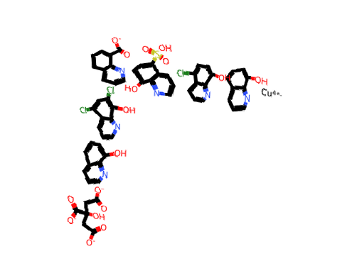 O=C([O-])CC(O)(CC(=O)[O-])C(=O)[O-].O=C([O-])c1cccc2cccnc12.O=S(=O)(O)c1ccc(O)c2ncccc12.Oc1c(Cl)cc(Cl)c2cccnc12.Oc1ccc(Cl)c2cccnc12.Oc1cccc2cccnc12.Oc1cccc2cccnc12.[Cu+4]